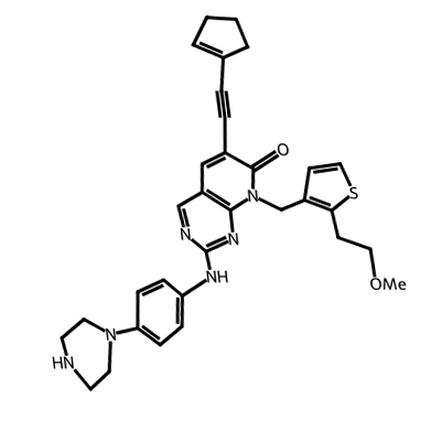 COCCc1sccc1Cn1c(=O)c(C#CC2=CCCC2)cc2cnc(Nc3ccc(N4CCNCC4)cc3)nc21